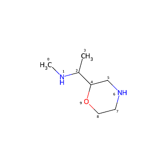 CNC(C)C1CNCCO1